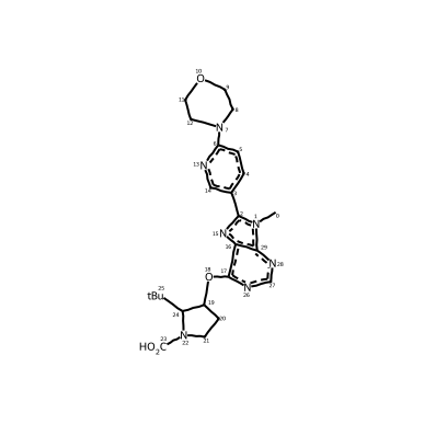 Cn1c(-c2ccc(N3CCOCC3)nc2)nc2c(OC3CCN(C(=O)O)C3C(C)(C)C)ncnc21